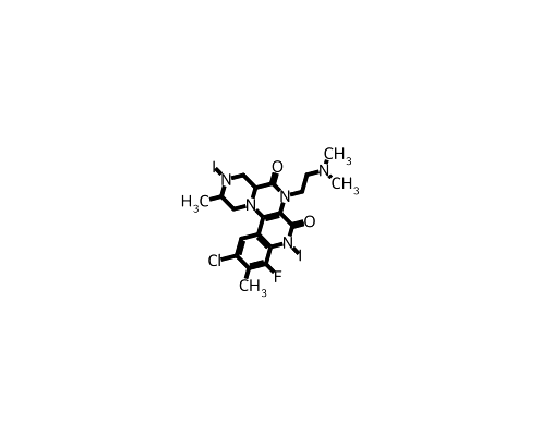 Cc1c(Cl)cc2c3c(c(=O)n(I)c2c1F)N(CCN(C)C)C(=O)C1CN(I)C(C)CN31